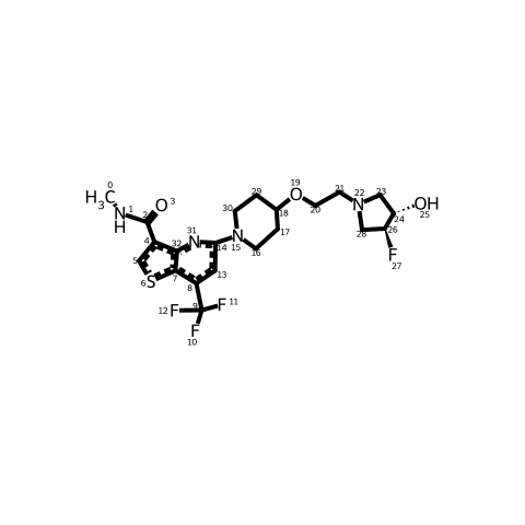 CNC(=O)c1csc2c(C(F)(F)F)cc(N3CCC(OCCN4C[C@H](O)[C@@H](F)C4)CC3)nc12